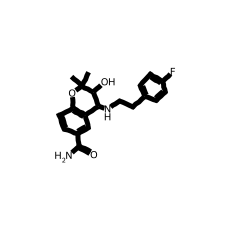 CC1(C)Oc2ccc(C(N)=O)cc2C(NCCc2ccc(F)cc2)C1O